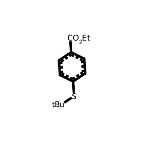 CCOC(=O)c1ccc(SC(C)(C)C)cc1